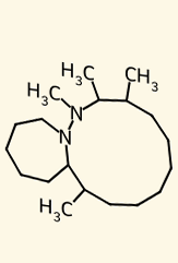 CC1CCCCCCC(C)C2CCCCCN2N(C)C1C